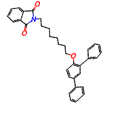 O=C1c2ccccc2C(=O)N1CCCCCCCCOc1ccc(-c2ccccc2)cc1-c1ccccc1